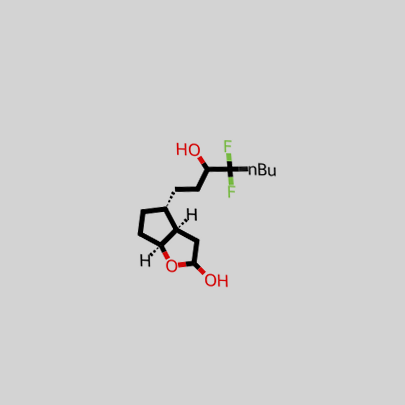 CCCCC(F)(F)C(O)CC[C@H]1CC[C@@H]2OC(O)C[C@H]12